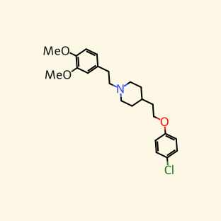 COc1ccc(CCN2CCC(CCOc3ccc(Cl)cc3)CC2)cc1OC